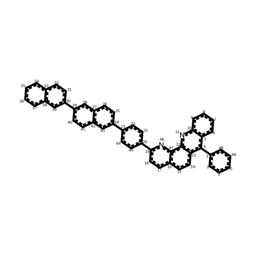 c1ccc(-c2c3ccccc3nc3c2ccc2ccc(-c4ccc(-c5ccc6cc(-c7ccc8ccccc8c7)ccc6c5)cc4)nc23)cc1